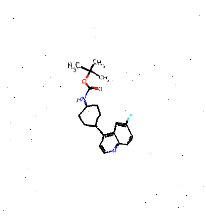 CC(C)(C)OC(=O)NC1CCC(c2ccnc3ccc(F)cc23)CC1